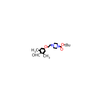 Cc1cc(OCCN2CCN(C(=O)OC(C)(C)C)CC2)cc(C)c1C=O